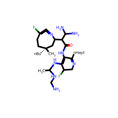 CCCCCCCC1=NCC(F)C(NC(C)NCN)=C1NC(=O)C(C(N)N)C1C[C@](C)(CCCC)CCC(F)=C=N1